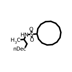 CCCCCCCCCCCC(C)NS(=O)(=O)C1CCCCCCCCCCCCC1